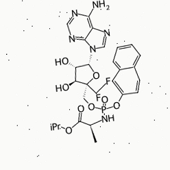 CC(C)OC(=O)[C@H](C)NP(=O)(OC[C@@]1(C(F)F)O[C@@H](n2cnc3c(N)ncnc32)[C@@H](O)[C@@H]1O)Oc1ccc2ccccc2c1